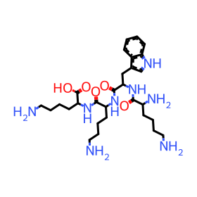 NCCCCC(N)C(=O)NC(Cc1c[nH]c2ccccc12)C(=O)NC(CCCCN)C(=O)NC(CCCCN)C(=O)O